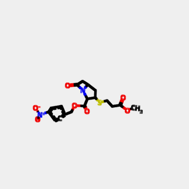 COC(=O)CCSC1CC2CC(=O)N2C1C(=O)OCc1ccc([N+](=O)[O-])cc1